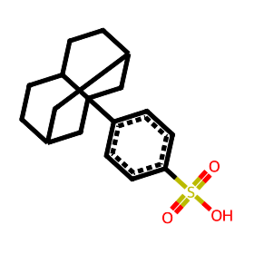 O=S(=O)(O)c1ccc(C23CC4CCC2CCC(C4)C3)cc1